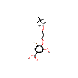 COC(=O)c1cc(Br)c(OCCCO[Si](C)(C)C(C)(C)C)c(OC)c1